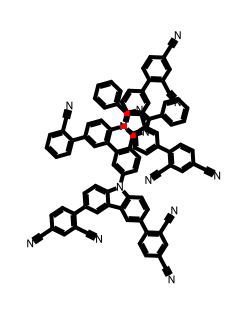 N#Cc1ccc(-c2ccc3c(c2)c2cc(-c4ccc(C#N)cc4C#N)ccc2n3-c2ccc(-c3nc(-c4ccccc4)nc(-c4ccccc4)n3)c(-c3cc(-c4ccccc4C#N)ccc3-n3c4ccc(-c5ccc(C#N)cc5C#N)cc4c4cc(-c5ccc(C#N)cc5C#N)ccc43)c2)c(C#N)c1